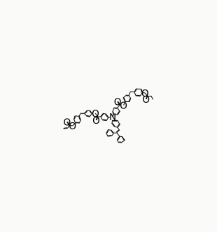 C=CC(=O)Oc1ccc(Cc2ccc(OC(=O)c3ccc(N(c4ccc(C=C(c5ccccc5)c5ccccc5)cc4)c4ccc(C(=O)Oc5ccc(Cc6ccc(OC(=O)CC)cc6)cc5)cc4)cc3)cc2)cc1